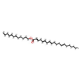 CCCCCCCCCCCCCCCCCC=CC(=O)OCCCCCCCCCCCC